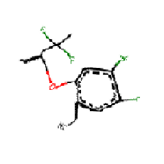 CC(Oc1cc(Br)c(F)cc1C#N)C(C)(F)F